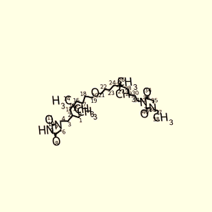 CCC(CCN1CC(=O)NC1=O)CC(C)(C)CCCCOCCCCC(C)(C)CCCCN1C(=O)CN(CC)C1=O